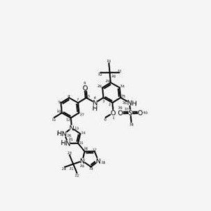 COc1c(NC(=O)c2ccc(C)c(N3C=C(c4cncn4C(C)(C)C)NN3)c2)cc(C(C)(C)C)cc1NS(C)(=O)=O